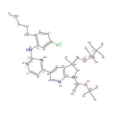 COCCOc1ccc(Cl)cc1Nc1nccc(-c2cnc3c(c2)C(C)(CO[Si](C)(C)C(C)(C)C)CN3C(=O)OC(C)(C)C)n1